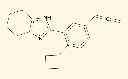 C=C=Cc1ccc(C2CCC2)c(-c2nc3c([nH]2)CCCC3)c1